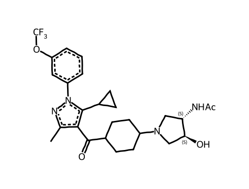 CC(=O)N[C@H]1CN(C2CCC(C(=O)c3c(C)nn(-c4cccc(OC(F)(F)F)c4)c3C3CC3)CC2)C[C@@H]1O